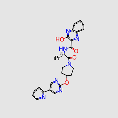 CC(C)[C@H](NC(=O)c1nc2ccccc2nc1O)C(=O)N1CCC(Oc2ncc(-c3ccccn3)cn2)CC1